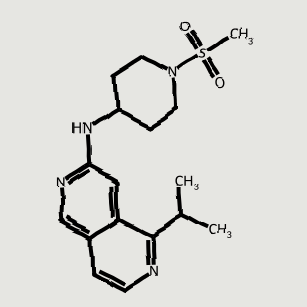 CC(C)c1nccc2cnc(NC3CCN(S(C)(=O)=O)CC3)cc12